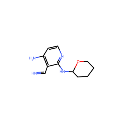 N=Cc1c(N)ccnc1NC1CCCCO1